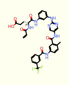 C=CC(=O)N[C@H](CCC(=O)O)C(=O)Nc1cccc(Nc2ncc(NC(=O)c3cc(NC(=O)c4cccc(C(F)(F)F)c4)ccc3C)cn2)c1